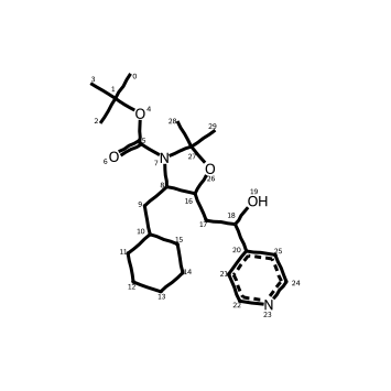 CC(C)(C)OC(=O)N1C(CC2CCCCC2)C(CC(O)c2ccncc2)OC1(C)C